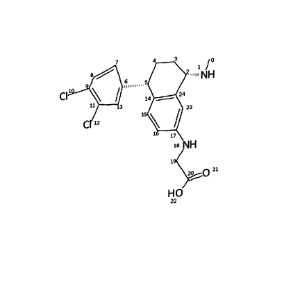 CN[C@H]1CC[C@@H](c2ccc(Cl)c(Cl)c2)c2ccc(NCC(=O)O)cc21